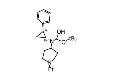 CCN1CCC(N(C(O)OC(C)(C)C)[C@@H]2C[C@H]2c2ccccc2)CC1